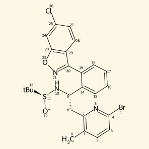 Cc1ccc(Br)nc1C[C@H](N[S@@+]([O-])C(C)(C)C)c1ccccc1-c1noc2cc(Cl)ccc12